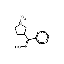 O=C(O)N1CCC(C(=NO)c2ccccc2)C1